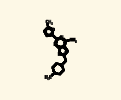 Cc1ccc(-c2nc(N)c3cc(CN4CCN(C)CC4)sc3n2)o1